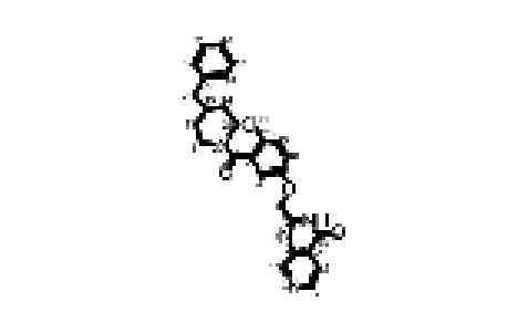 O=C(c1cc(OCc2nc3cnccc3c(=O)[nH]2)ccc1Cl)N1CCC(Cc2ccccc2)CC1